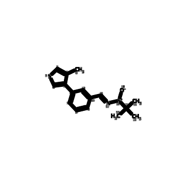 Cc1cscc1-c1cccc(C=N[S+]([O-])C(C)(C)C)c1